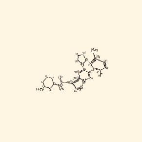 O=C(NC1CCCC(O)C1)c1cnn2ccc(N3CCC[C@@H]3c3cc(F)ccc3F)cc12